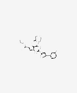 CCNC(=O)c1cc2nc(-n3cc(-c4cccc(C)c4)cn3)nc(N3CCOCC3=O)c2o1